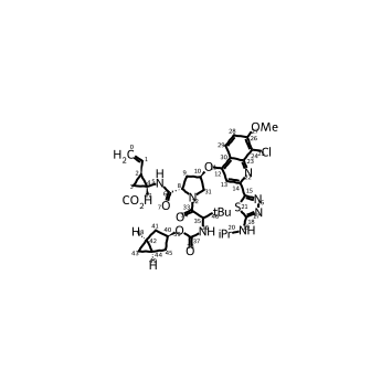 C=C[C@@H]1C[C@]1(NC(=O)[C@@H]1C[C@@H](Oc2cc(-c3nnc(NC(C)C)s3)nc3c(Cl)c(OC)ccc23)CN1C(=O)C(NC(=O)O[C@@H]1C[C@@H]2C[C@@H]2C1)C(C)(C)C)C(=O)O